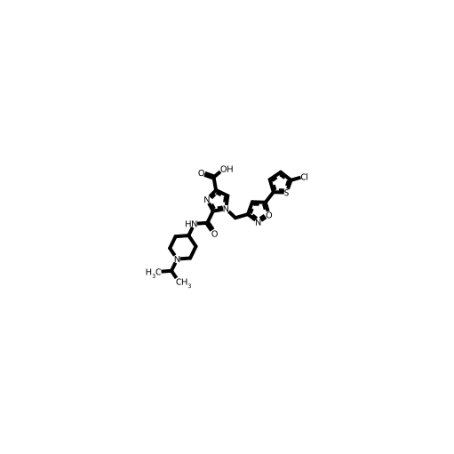 CC(C)N1CCC(NC(=O)c2nc(C(=O)O)cn2Cc2cc(-c3ccc(Cl)s3)on2)CC1